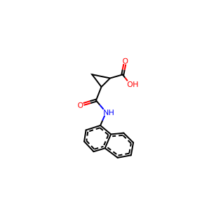 O=C(O)C1CC1C(=O)Nc1cccc2ccccc12